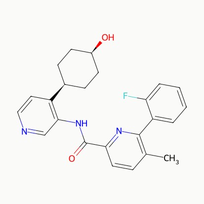 Cc1ccc(C(=O)Nc2cnccc2[C@H]2CC[C@@H](O)CC2)nc1-c1ccccc1F